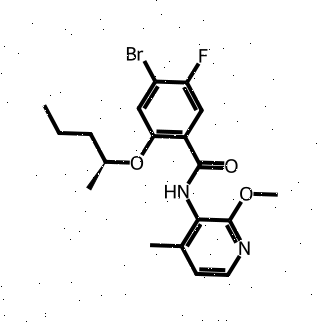 CCC[C@H](C)Oc1cc(Br)c(F)cc1C(=O)Nc1c(C)ccnc1OC